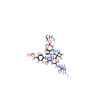 CCOC(=O)C[C@@H](NC(=O)C1(C(=O)N[C@@H](CCCNC(N)=O)C(=O)Nc2ccc(CO)cc2)CCC1)c1ccsc1